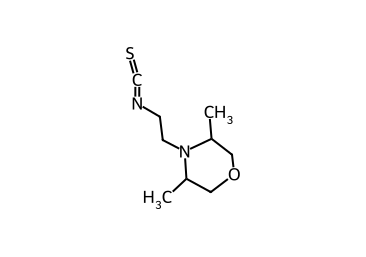 CC1COCC(C)N1CCN=C=S